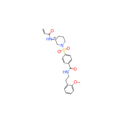 C=CC(=O)N[C@H]1CCCN(S(=O)(=O)c2ccc(C(=O)NCCc3ccccc3OC)cc2)C1